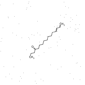 C=CC=CCCCCCCCCC(=O)CCC